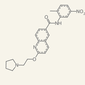 Cc1ccc([N+](=O)[O-])cc1NC(=O)c1ccc2nc(OCCN3CCCC3)ccc2c1